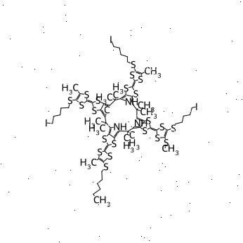 CCCCCCSC1=C(C)S/C(=C2\Sc3c4[nH]c(c3S2)C(C)(C)c2[nH]c(c3c2S/C(=C2\SC(SC)=C(SCCCCCI)S2)S3)C(C)(C)c2[nH]c(c3c2S/C(=C2\SC(C)=C(SCCCCCI)S2)S3)C(C)(C)C2=C3S/C(=C5\SC(C)=C(SCCCCCI)S5)SC3=C(C2)C4(C)C)S1